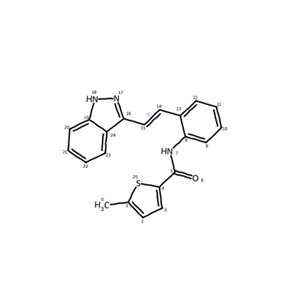 Cc1ccc(C(=O)Nc2ccccc2/C=C/c2n[nH]c3ccccc23)s1